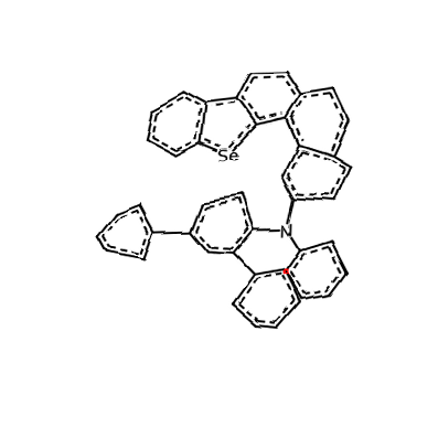 c1ccc(-c2ccc(N(c3ccccc3)c3ccc4ccc5ccc6c7ccccc7[se]c6c5c4c3)c(-c3ccccc3)c2)cc1